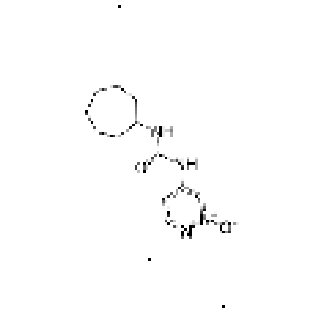 O=C(Nc1ccn[n+]([O-])c1)NC1CCCCCC1